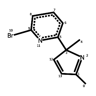 CC1=NC(C)(c2cccc(Br)n2)C=C1